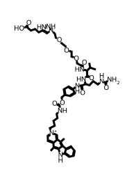 Cc1c2cc[n+](CCCCCNC(=O)OCc3ccc(NC(=O)C(CCCNC(N)=O)NC(=O)C(NC(=O)COCCOCCOCCN4C=C(CCCC(=O)O)NN4)C(C)C)cc3)cc2c(C)c2c1[nH]c1ccccc12